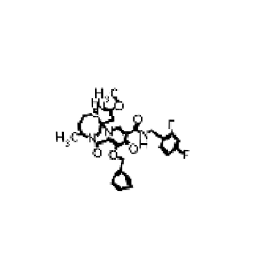 COC1=N[SH]2CC[C@H](C)N3CC2(C1)n1cc(C(=O)NCc2ccc(F)cc2F)c(=O)c(OCc2ccccc2)c1C3=O